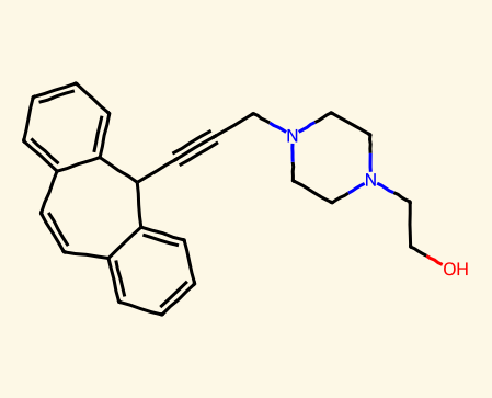 OCCN1CCN(CC#CC2c3ccccc3C=Cc3ccccc32)CC1